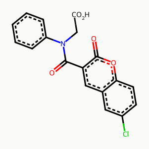 O=C(O)CN(C(=O)c1cc2cc(Cl)ccc2oc1=O)c1ccccc1